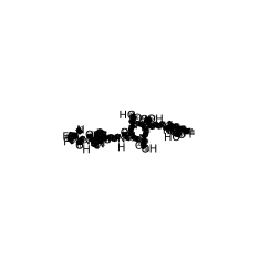 N#C[C@@H]1CC(F)(F)CN1C(=O)CNC(=O)c1ccnc2c(OCCCNC(=O)CN3CCN(CC(=O)O)CCN(C(CCCCn4cc(CC(CCCF)S(=O)(=O)O)nn4)C(=O)O)CCN(CC(=O)O)CC3)cccc12